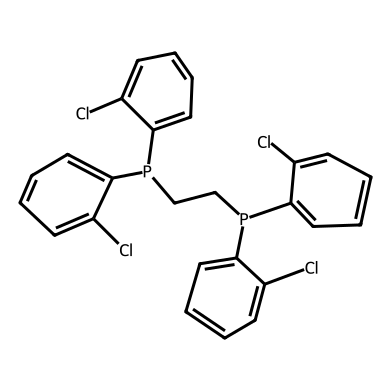 Clc1ccccc1P(CCP(c1ccccc1Cl)c1ccccc1Cl)c1ccccc1Cl